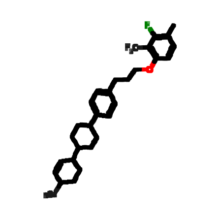 CCCCC1C=CC(C2CCC(c3ccc(CCCOc4ccc(C)c(F)c4C(F)(F)F)cc3)CC2)CC1